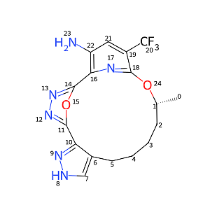 C[C@@H]1CCCCc2c[nH]nc2-c2nnc(o2)-c2nc(c(C(F)(F)F)cc2N)O1